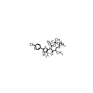 CSCC(C)C(=O)N(C(=O)OC(C)(C)C)c1sc(-c2ccc(Cl)nc2)nc1C